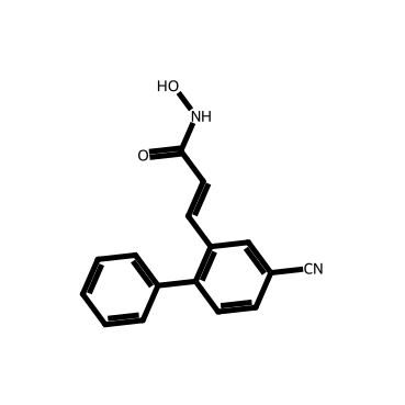 N#Cc1ccc(-c2ccccc2)c(C=CC(=O)NO)c1